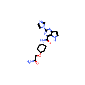 NC(=O)CO[C@H]1CC[C@H](NC(=O)c2nc(-n3ccnc3)nc3cc[nH]c23)CC1